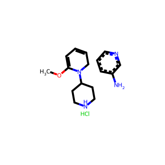 COC1=CC=CCN1C1CCNCC1.Cl.Nc1cccnc1